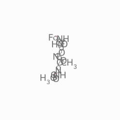 COc1cc2c(Oc3ccc(NC(=O)C4(C(=O)Nc5ccc(F)cc5)CC4)cc3)ccnc2cc1OCC1CCN(CCNS(C)(=O)=O)CC1